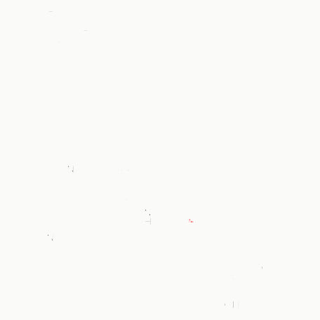 O=C(O)CC12CCCCCCCCCCCC(NC(=O)c3ccnc4ccn(Cc5ccc(C(F)(F)F)cc5)c34)(C1)C2